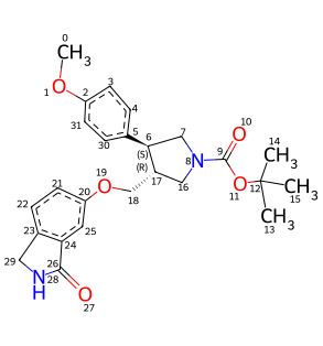 COc1ccc([C@H]2CN(C(=O)OC(C)(C)C)C[C@@H]2COc2ccc3c(c2)C(=O)NC3)cc1